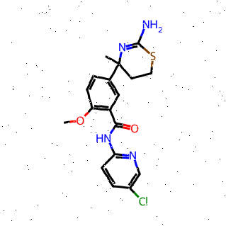 COc1ccc(C2(C)CCSC(N)=N2)cc1C(=O)Nc1ccc(Cl)cn1